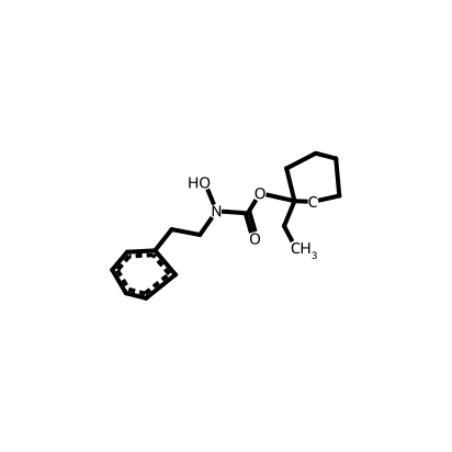 CCC1(OC(=O)N(O)CCc2ccccc2)CCCCC1